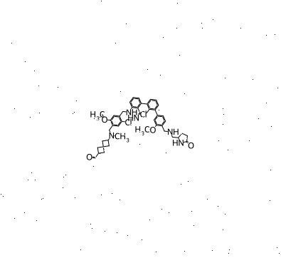 COc1cc(-c2cccc(-c3cccc(NCc4cc(OC)c(CN(C)C5CC6(CC(C=O)C6)C5)cc4Cl)c3C=N)c2Cl)ccc1CNCC1CCC(=O)N1